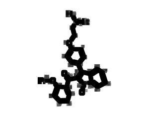 CCN(CC)CCOc1ccc(-c2c(C(=O)c3ccccc3OC(C)C)[s+]([O-])c3ccccc23)cc1